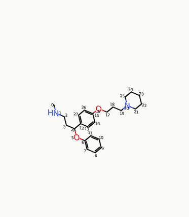 CNCCC(Oc1ccccc1)c1ccc(OCCCN2CCCCC2)cc1